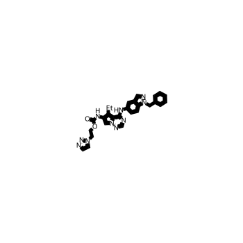 CCc1c(NC(=O)OCCn2ccnn2)cn2ncnc(Nc3ccc4c(cnn4Cc4ccccc4)c3)c12